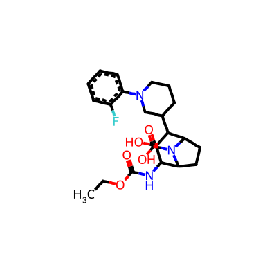 CCOC(=O)NC1C(O)C(C2CCCN(c3ccccc3F)C2)C2CCC1N2C(=O)O